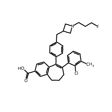 Cc1cccc(C2=C(c3ccc(CC4CN(CCCF)C4)cc3)c3ccc(C(=O)O)cc3CCC2)c1Cl